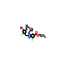 CCOC(=O)c1cc(F)c2nc(Cc3cc(C)c(Br)cc3F)n(C[C@@H]3CCO3)c2c1